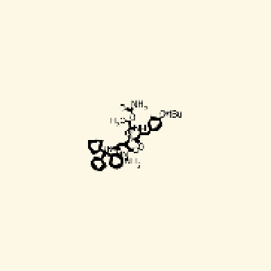 CC(OC(N)=O)C(=O)NC(Cc1ccc(OC(C)(C)C)cc1)C(=O)NC(CC(=O)NC(c1ccccc1)(c1ccccc1)c1ccccc1)C(=O)NN